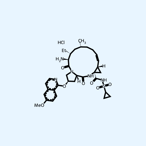 CC[C@@H]1C[C@H](C)CCC=C[C@@H]2C[C@@]2(C(=O)NS(=O)(=O)C2CC2)NC(=O)[C@@H]2C[C@@H](Oc3nccc4cc(OC)ccc34)CN2C(=O)[C@H]1N.Cl